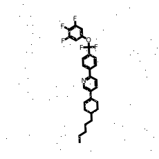 CCCCCC1CC=C(c2ccc(-c3ccc(C(F)(F)Oc4cc(F)c(F)c(F)c4)cc3)nc2)CC1